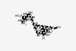 C#CCOCCOCCOCCOCCC(=O)N(CCOCCN(CC)C(=O)O[C@@H]([C@@H]1OC(C(=O)O)=C[C@H](NC(=N)N)[C@H]1NC(C)=O)[C@H](O)CO)CCOCCN(CC)C(=O)O[C@@H]([C@@H]1OC(C(=O)O)=C[C@H](NC(=N)N)[C@H]1NC(C)=O)[C@H](O)CO